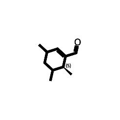 CC1C=C(C=O)[C@@H](C)C(C)C1